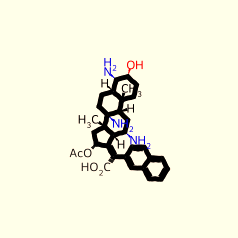 CC(=O)O[C@H]1C[C@@]2(C)[C@H](/C1=C(/C(=O)O)c1ccc3ccccc3c1)[C@@H](N)C[C@H]1[C@@]3(C)CC[C@@H](O)[C@@H](N)[C@@H]3CC[C@@]12N